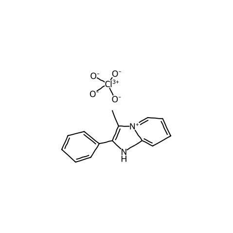 Cc1c(-c2ccccc2)[nH]c2cccc[n+]12.[O-][Cl+3]([O-])([O-])[O-]